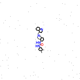 Cc1ccc(NC(=O)Nc2cccc3c2CCN(Cc2ccnc4ccccc24)C3)cc1C